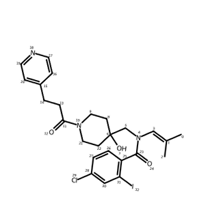 CC(C)=CN(CC1(O)CCN(C(=O)CCc2ccncc2)CC1)C(=O)c1ccc(Cl)cc1I